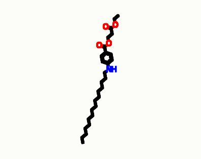 CCCCCCCCCCCCCCCCNc1ccc(C(=O)OCCC(=O)OCC)cc1